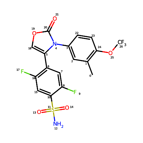 Cc1cc(-n2c(-c3cc(F)c(S(N)(=O)=O)cc3F)coc2=O)ccc1OC(F)(F)F